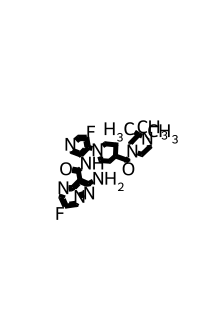 CN1CCN(C(=O)C2CCN(c3c(F)cncc3NC(=O)c3c(N)nn4cc(F)cnc34)CC2)CC1(C)C